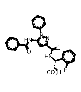 O=C(O)C[C@H](NC(=O)c1cc(NC(=O)c2ccccc2)n(-c2ccccc2)n1)c1ccccc1F